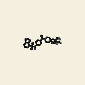 CC(C)(C)CC1(O)CCN(C(=O)c2ccc(NS(=O)(=O)c3cccc4scnc34)cc2)CC1